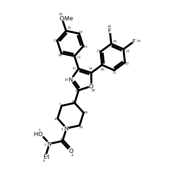 CCN(O)C(=O)N1CCC(c2nc(-c3ccc(OC)cc3)c(-c3ccc(F)c(F)c3)o2)CC1